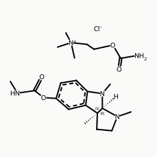 CNC(=O)Oc1ccc2c(c1)[C@]1(C)CCN(C)[C@@H]1N2C.C[N+](C)(C)CCOC(N)=O.[Cl-]